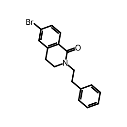 O=C1c2ccc(Br)cc2CCN1CCc1ccccc1